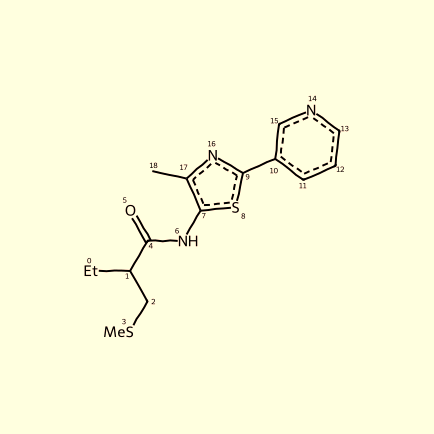 CCC(CSC)C(=O)Nc1sc(-c2cccnc2)nc1C